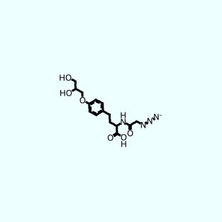 [N-]=[N+]=NCC(=O)NC(CCc1ccc(OCC(O)CO)cc1)C(=O)O